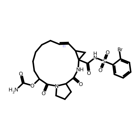 NC(=O)OC1CCCCC/C=C/C2CC2(C(=O)NS(=O)(=O)c2ccccc2Br)NC(=O)C2CCCN2C1=O